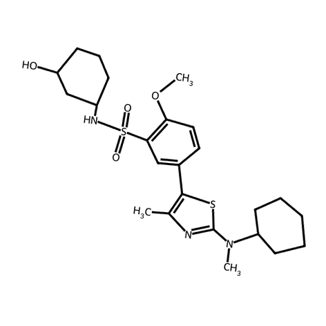 COc1ccc(-c2sc(N(C)C3CCCCC3)nc2C)cc1S(=O)(=O)NC1CCCC(O)C1